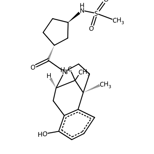 CC1(C)[C@H]2Cc3c(O)cccc3[C@]1(C)CCN2C(=O)[C@@H]1CC[C@@H](NS(C)(=O)=O)C1